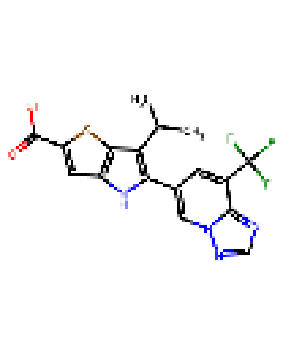 CC(C)c1c(-c2cc(C(F)(F)F)c3ncnn3c2)[nH]c2cc(C(=O)O)sc12